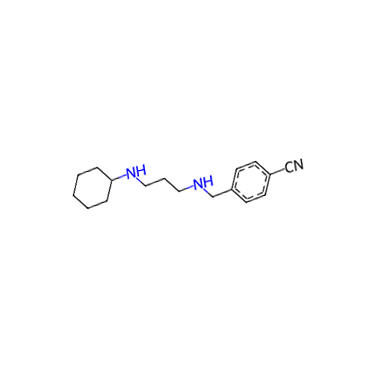 N#Cc1ccc(CNCCCNC2CCCCC2)cc1